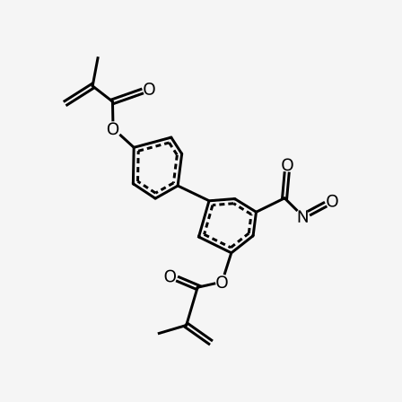 C=C(C)C(=O)Oc1ccc(-c2cc(OC(=O)C(=C)C)cc(C(=O)N=O)c2)cc1